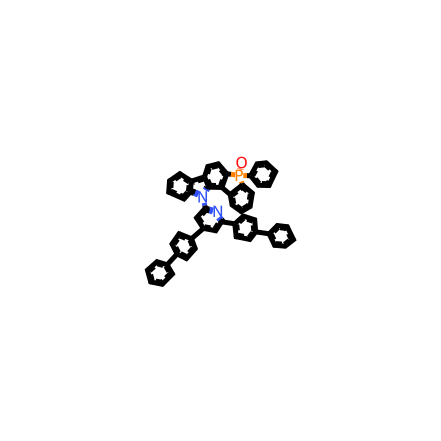 O=P1(c2ccccc2)c2ccccc2-c2c1ccc1c3ccccc3n(-c3cc(-c4ccc(-c5ccccc5)cc4)cc(-c4ccc(-c5ccccc5)cc4)n3)c21